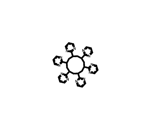 c1cnc(C2CC(c3ncccn3)CC(c3ncccn3)CC(c3ncccn3)CC(c3ncccn3)CC(c3ncccn3)C2)nc1